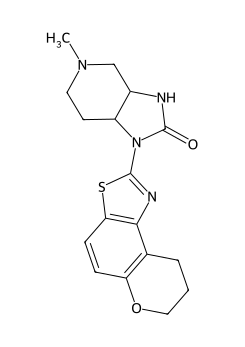 CN1CCC2C(C1)NC(=O)N2c1nc2c3c(ccc2s1)OCCC3